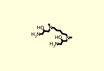 CN(CCCCCN(C)CC(O)CN)CC(O)CN